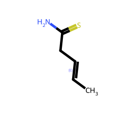 C/C=C/CC(N)=S